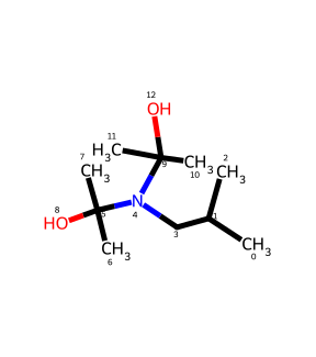 CC(C)CN(C(C)(C)O)C(C)(C)O